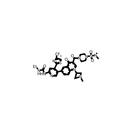 CCNC(=O)Nc1cc(-c2nc(C(F)(F)F)cs2)c(-c2ccc3c(c2)c(=O)c(C(=O)N2CCN(S(=O)(=O)N(C)C)CC2)cn3C2CN(C)C2)cn1